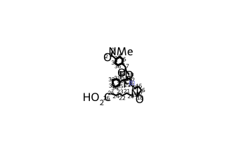 CNC(=O)c1ccc(CC(=O)O[C@H](/C=C/[C@H]2CCC(=O)N2CCCCCCC(=O)O)C(F)(F)c2ccccc2)cc1